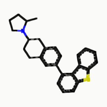 CC1CCCN1C1CCc2cc(-c3cccc4sc5ccccc5c34)ccc2C1